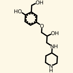 OCc1cc(OCC(O)CNC2CCNCC2)ccc1O